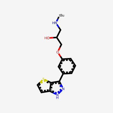 CC(C)(C)NCC(O)COc1cccc(-c2n[nH]c3ccsc23)c1